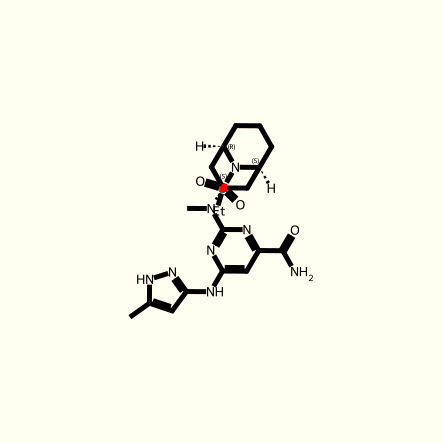 CCS(=O)(=O)N1[C@@H]2CCC[C@H]1C[C@H](N(C)c1nc(Nc3cc(C)[nH]n3)cc(C(N)=O)n1)C2